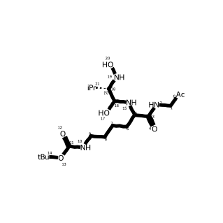 CC(=O)CNC(=O)C(CCCCNC(=O)OC(C)(C)C)NC(O)[C@@H](NO)C(C)C